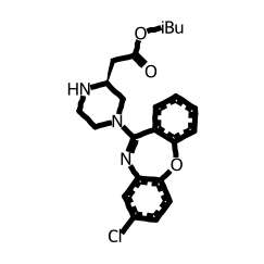 CCC(C)OC(=O)C[C@H]1CN(C2=Nc3cc(Cl)ccc3Oc3ccccc32)CCN1